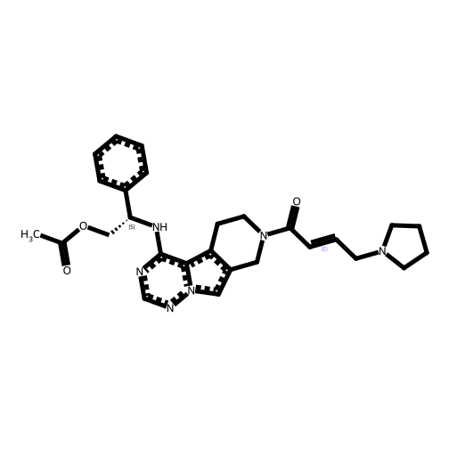 CC(=O)OC[C@@H](Nc1ncnn2cc3c(c12)CCN(C(=O)/C=C/CN1CCCC1)C3)c1ccccc1